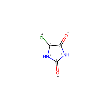 O=C1NC(=O)C(Cl)N1